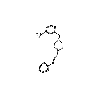 O=[N+]([O-])c1cccc(CN2CCN(CC=Cc3ccccc3)CC2)c1